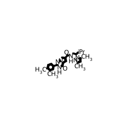 Cc1cc(C)n(C(CNC(=O)c2cc3c(=O)[nH]c(-c4ccc(C)c(C)c4)nn3c2)C(C)C)n1